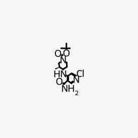 C[C@H]1CN(C(=O)OC(C)(C)C)CC[C@H]1Nc1cc(Cl)ncc1C(N)=O